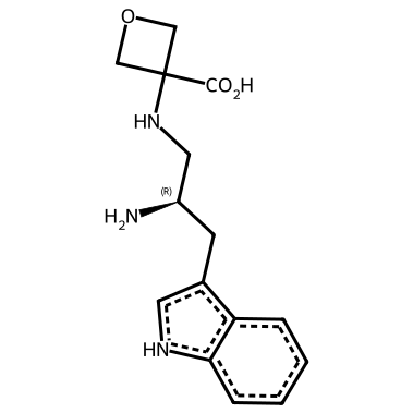 N[C@@H](CNC1(C(=O)O)COC1)Cc1c[nH]c2ccccc12